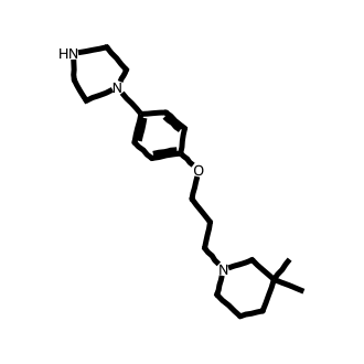 CC1(C)CCCN(CCCOc2ccc(N3CCNCC3)cc2)C1